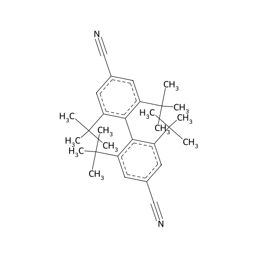 CC(C)(C)c1cc(C#N)cc(C(C)(C)C)c1-c1c(C(C)(C)C)cc(C#N)cc1C(C)(C)C